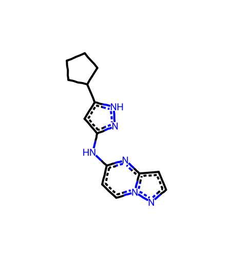 c1cc2nc(Nc3cc(C4CCCC4)[nH]n3)ccn2n1